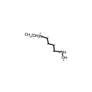 CN(O)CCCCNO